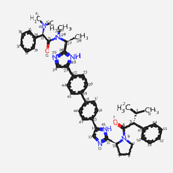 CC(C)[C@@H](C(=O)N1CCC[C@H]1c1ncc(-c2ccc(-c3ccc(-c4cnc([C@H](C)N(C)C(=O)[C@@H](c5ccccc5)N(C)C)[nH]4)cc3)cc2)[nH]1)c1ccccc1